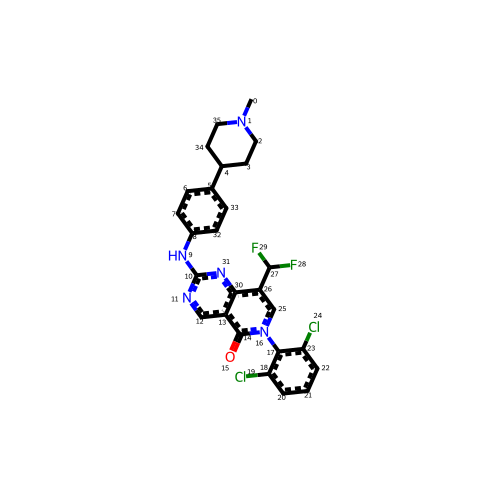 CN1CCC(c2ccc(Nc3ncc4c(=O)n(-c5c(Cl)cccc5Cl)cc(C(F)F)c4n3)cc2)CC1